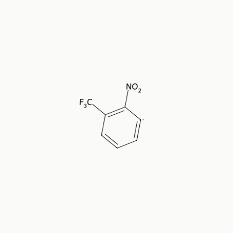 O=[N+]([O-])c1[c]cccc1C(F)(F)F